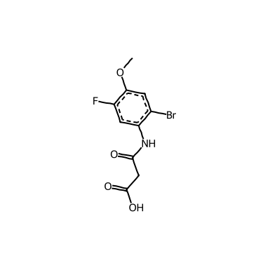 COc1cc(Br)c(NC(=O)CC(=O)O)cc1F